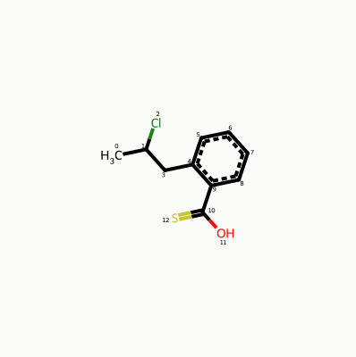 CC(Cl)Cc1ccccc1C(O)=S